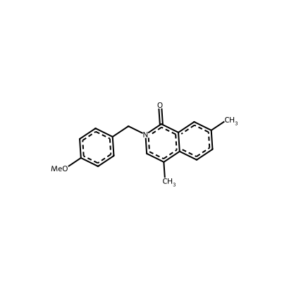 COc1ccc(Cn2cc(C)c3ccc(C)cc3c2=O)cc1